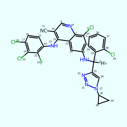 [2H]C(Nc1cc(Cl)c2ncc(C#N)c(Nc3ccc(Cl)c(Cl)c3F)c2c1)(c1cn(C2CC2)nn1)c1ccccc1Cl